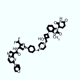 Cn1c(=O)n(C2CCC(=O)NC2=O)c2cccc([C@H]3C[C@](O)(CN4CCN(C[C@H]5CC[C@H](n6cc(NC(=O)c7cnn8ccc(N9CC%10CC9CO%10)nc78)c(C(F)F)n6)CC5)CC4)C3)c21